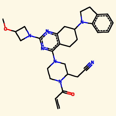 C=CC(=O)N1CCN(c2nc(N3CC(OC)C3)nc3c2CCC(N2CCc4ccccc42)C3)CC1CC#N